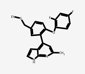 CCSCc1ccc(Oc2ccc(F)cc2F)c(-c2cc(C)nc3[nH]ccc23)c1